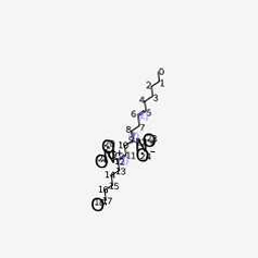 CCCCC/C=C/C/C=C(/C/C=C(/CCCC[C]=O)[N+](=O)[O-])[N+](=O)[O-]